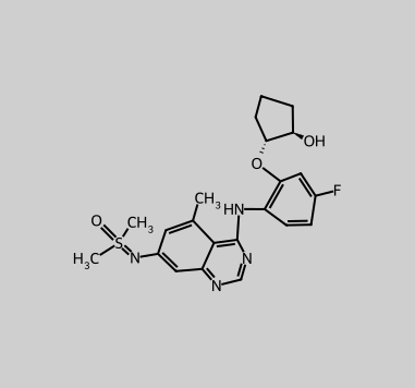 Cc1cc(N=S(C)(C)=O)cc2ncnc(Nc3ccc(F)cc3O[C@@H]3CCC[C@H]3O)c12